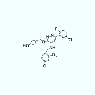 COc1ccc(CNc2cc(-c3cc(Cl)ccc3F)nnc2OCC2CC(O)C2)c(OC)c1